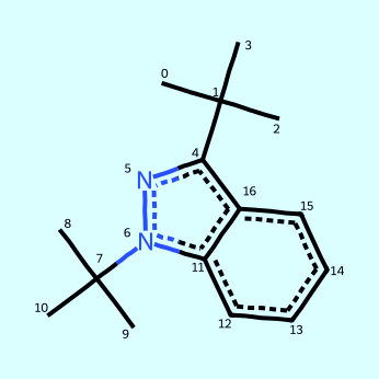 CC(C)(C)c1nn(C(C)(C)C)c2ccccc12